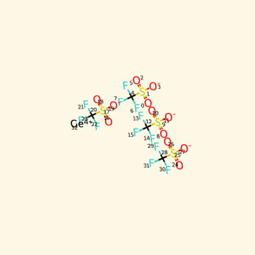 O=S(=O)([O-])C(F)(F)F.O=S(=O)([O-])C(F)(F)F.O=S(=O)([O-])C(F)(F)F.O=S(=O)([O-])C(F)(F)F.[Ge+4]